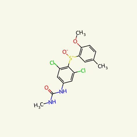 CNC(=O)Nc1cc(Cl)c([S+]([O-])c2cc(C)ccc2OC)c(Cl)c1